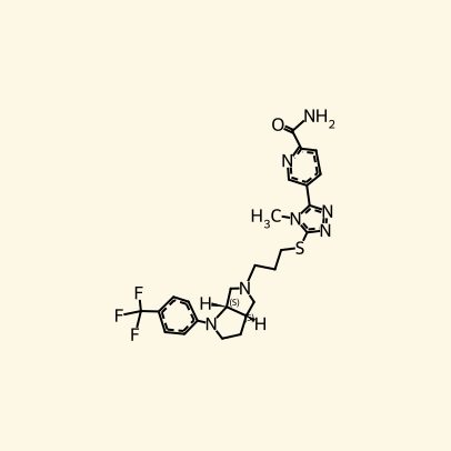 Cn1c(SCCCN2C[C@@H]3CCN(c4ccc(C(F)(F)F)cc4)[C@@H]3C2)nnc1-c1ccc(C(N)=O)nc1